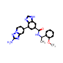 CC(NC(=O)c1cc(-c2ccn3nc(N)nc3c2)c2nc[nH]c2c1)c1ccccc1OC(F)(F)F